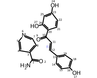 NC(=O)c1ccncc1.O=C(/C=C/c1ccc(O)cc1)c1ccc(O)cc1O